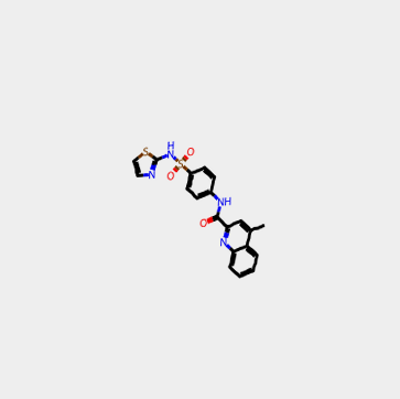 Cc1cc(C(=O)Nc2ccc(S(=O)(=O)Nc3nccs3)cc2)nc2ccccc12